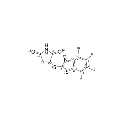 Cc1c(C)c(C)c2sc(SC3CC(=O)NC3=O)nc2c1C